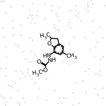 COC(=O)NNc1cc(C)cc2c1OC(C)C2